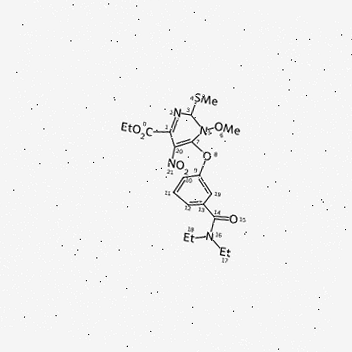 CCOC(=O)C1=NC(SC)N(OC)C(Oc2cccc(C(=O)N(CC)CC)c2)=C1[N+](=O)[O-]